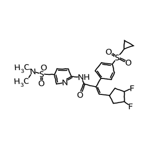 CN(C)S(=O)(=O)c1ccc(NC(=O)/C(=C/C2CC(F)C(F)C2)c2ccc(S(=O)(=O)C3CC3)cc2)nc1